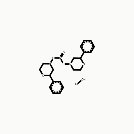 CCO.O=[N+](ON1CCOC(c2ccccc2)C1)ON1CCOC(c2ccccc2)C1